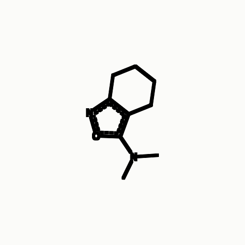 CN(C)c1onc2c1CCCC2